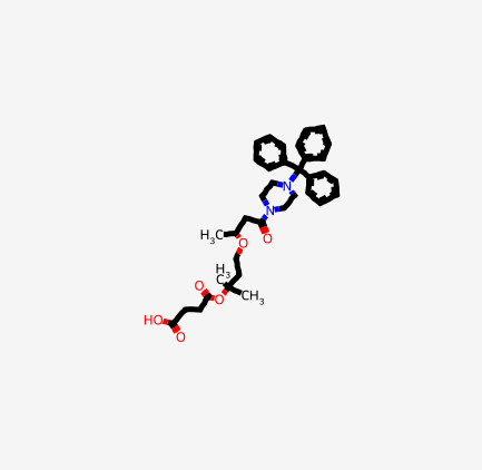 CC(CC(=O)N1CCN(C(c2ccccc2)(c2ccccc2)c2ccccc2)CC1)OCCC(C)(C)OC(=O)CCC(=O)O